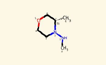 CNN1CCOC[C@@H]1C